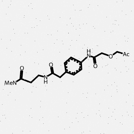 CNC(=O)CCNC(=O)Cc1ccc(NC(=O)COCC(C)=O)cc1